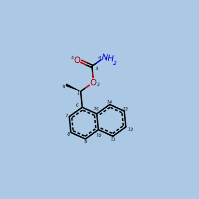 C[C@@H](OC(N)=O)c1cccc2ccccc12